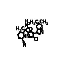 CC1(C)Cc2c(-c3cc([C@](C)(C(N)=O)c4cccc(C#N)n4)ncc3Cl)cnn2C1